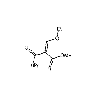 CCCC(=O)C(=COCC)C(=O)OC